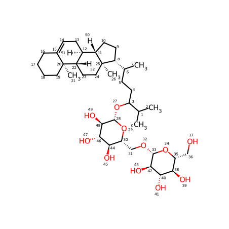 CC(C)C(CCC(C)[C@H]1CC[C@H]2[C@@H]3CC=C4CCCC[C@]4(C)[C@H]3CC[C@]12C)O[C@@H]1O[C@H](CO[C@@H]2O[C@H](CO)[C@@H](O)[C@H](O)[C@H]2O)[C@@H](O)[C@H](O)[C@H]1O